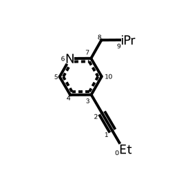 CCC#Cc1ccnc(CC(C)C)c1